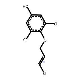 Oc1cc(Cl)c(OC/C=C/Cl)c(Cl)c1